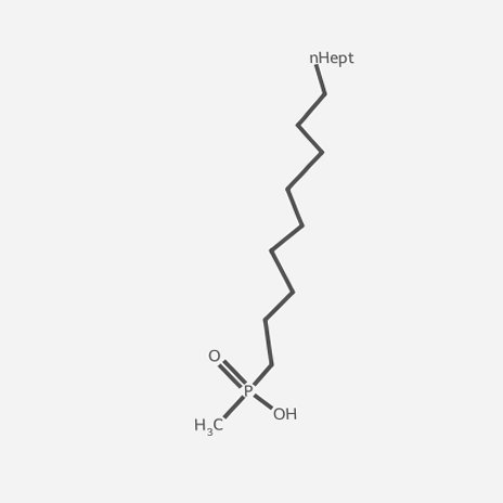 CCCCCCCCCCCCCCCCP(C)(=O)O